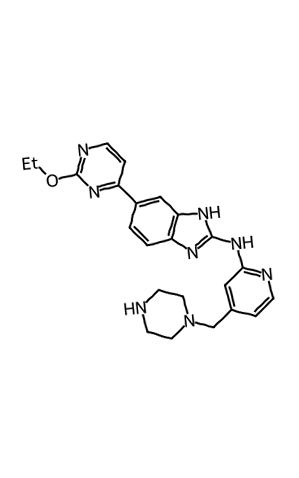 CCOc1nccc(-c2ccc3nc(Nc4cc(CN5CCNCC5)ccn4)[nH]c3c2)n1